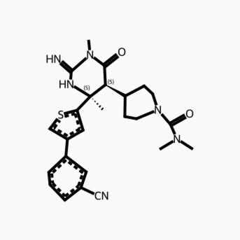 CN(C)C(=O)N1CCC([C@@H]2C(=O)N(C)C(=N)N[C@]2(C)c2cc(-c3cccc(C#N)c3)cs2)CC1